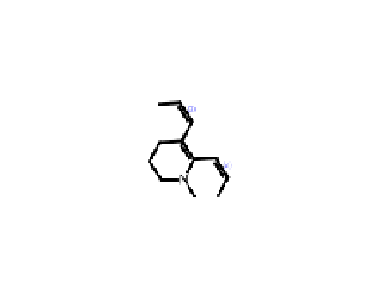 C/C=C\C1=C(/C=C\C)N(C)CCC1